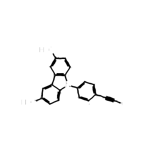 CC#Cc1ccc(-n2c3ccc(C)cc3c3cc(C)ccc32)cc1